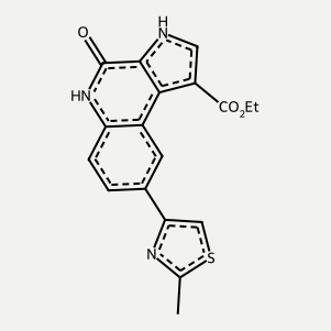 CCOC(=O)c1c[nH]c2c(=O)[nH]c3ccc(-c4csc(C)n4)cc3c12